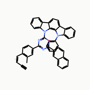 C#C/C=C\c1ccc(-c2nc(-c3ccc4ccccc4c3)nc(-n3c4ccccc4c4ccc5c6ccccc6n(-c6ccccc6)c5c43)n2)cc1C